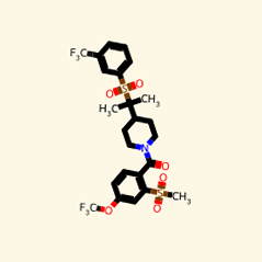 CC(C)(C1CCN(C(=O)c2ccc(OC(F)(F)F)cc2S(C)(=O)=O)CC1)S(=O)(=O)c1cccc(C(F)(F)F)c1